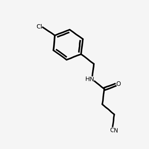 N#CCCC(=O)NCc1ccc(Cl)cc1